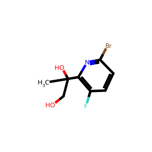 CC(O)(CO)c1nc(Br)ccc1F